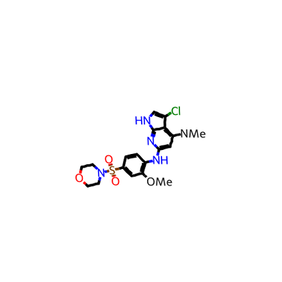 CNc1cc(Nc2ccc(S(=O)(=O)N3CCOCC3)cc2OC)nc2[nH]cc(Cl)c12